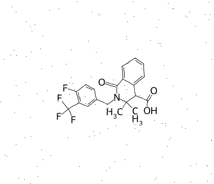 CC1(C)C(C(=O)O)c2ccccc2C(=O)N1Cc1ccc(F)c(C(F)(F)F)c1